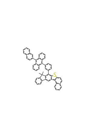 CC1(C)c2ccccc2-c2cc3c(sc4ccc5ccccc5c43)c(-c3cccc(-c4c5ccccc5c(-c5ccc6ccccc6c5)c5ccccc45)c3)c21